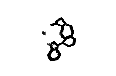 CC1CCN2C=CC3=C(N=C12)C(c1c[nH]c2ccccc12)CC=C3.Cl